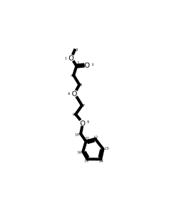 COC(=O)CCOCCOCc1ccccc1